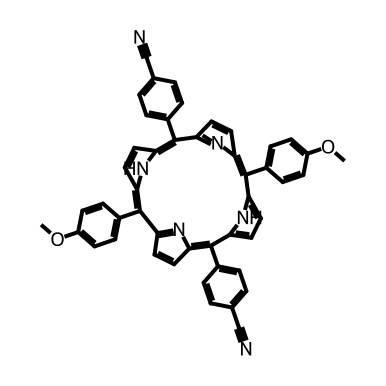 COc1ccc(-c2c3nc(c(-c4ccc(C#N)cc4)c4ccc([nH]4)c(-c4ccc(OC)cc4)c4nc(c(-c5ccc(C#N)cc5)c5ccc2[nH]5)C=C4)C=C3)cc1